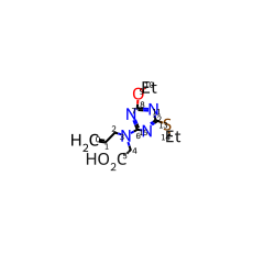 C=CCN(CC(=O)O)c1nc(OCC)nc(SCC)n1